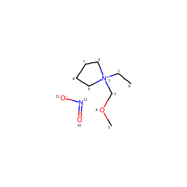 CC[N+]1(COC)CCCC1.O=N[O-]